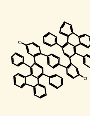 Clc1ccc(-c2ccc(-c3ccc(Cl)cc3-c3cc(-c4ccccc4)c4c5ccccc5c5ccccc5c4c3-c3ccccc3)cc2)c(-c2cc(-c3ccccc3)c3c4ccccc4c4ccccc4c3c2-c2ccccc2)c1